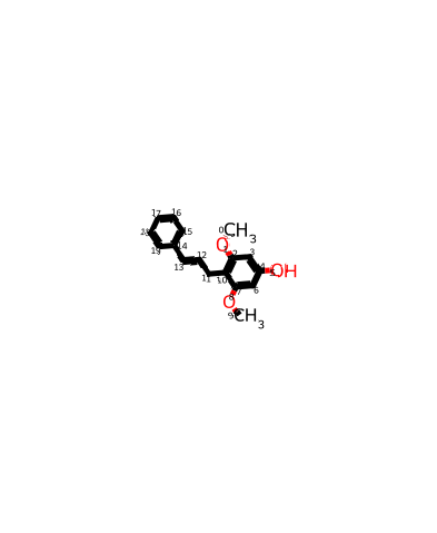 COc1cc(O)cc(OC)c1CC=Cc1ccccc1